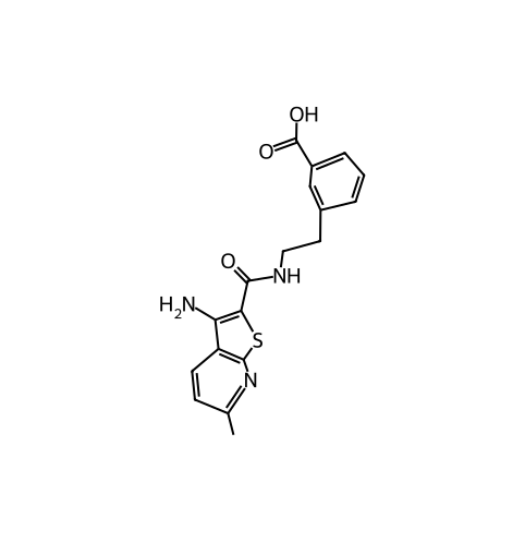 Cc1ccc2c(N)c(C(=O)NCCc3cccc(C(=O)O)c3)sc2n1